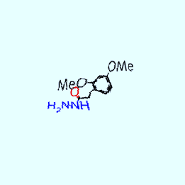 COc1ccc(CC(=O)NN)c(OC)c1